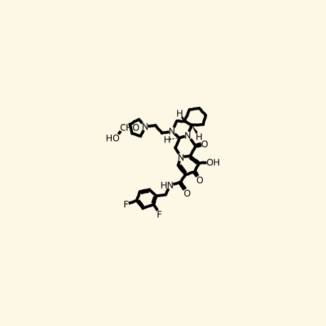 O=C(NCc1ccc(F)cc1F)c1cn2c(c(O)c1=O)C(=O)N1[C@H]3CCCC[C@H]3CN(CCN3CCCC3)[C@@H]1C2.O=CO